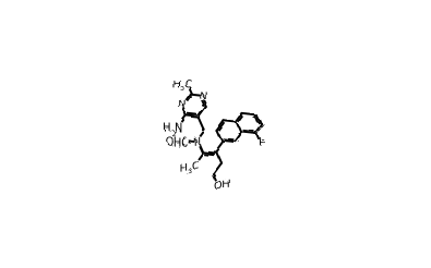 C/C(=C(\CCO)c1[c]c2c(F)cccc2cc1)N(C=O)Cc1cnc(C)nc1N